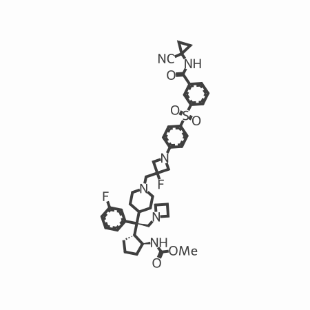 COC(=O)N[C@H]1CCC[C@@H]1[C@](CN1CCC1)(c1cccc(F)c1)C1CCN(CC2(F)CN(c3ccc(S(=O)(=O)c4cccc(C(=O)NC5(C#N)CC5)c4)cc3)C2)CC1